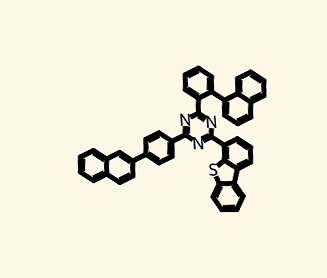 c1ccc(-c2cccc3ccccc23)c(-c2nc(-c3ccc(-c4ccc5ccccc5c4)cc3)nc(-c3cccc4c3sc3ccccc34)n2)c1